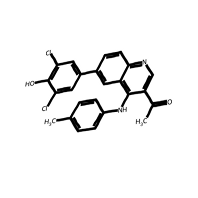 CC(=O)c1cnc2ccc(-c3cc(Cl)c(O)c(Cl)c3)cc2c1Nc1ccc(C)cc1